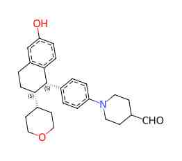 O=CC1CCN(c2ccc([C@H]3c4ccc(O)cc4CC[C@H]3C3CCOCC3)cc2)CC1